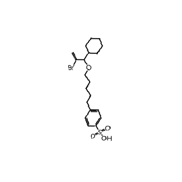 C=C(Br)C(OCCCCCc1ccc(S(=O)(=O)O)cc1)C1CCCCC1